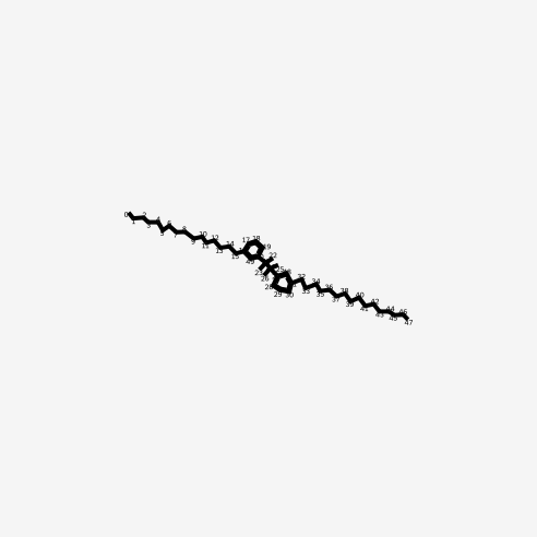 CCCCCCCCCCCCCCCCc1cccc(C(C)(C)C(C)(C)c2cccc(CCCCCCCCCCCCCCCC)c2)c1